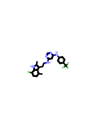 Cc1[nH]c2c(F)ccc(C)c2c1CCNc1cc(Nc2ccc(C(F)(F)F)cc2)ncn1